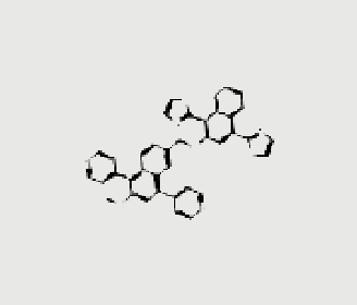 COc1cc(-c2ccncc2)c2cc(COc3cc(-c4nccs4)c4ccccc4c3-c3nccs3)ccc2c1-c1ccncc1